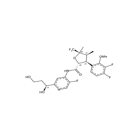 COc1c([C@H]2[C@H](C(=O)Nc3cc([C@@H](O)CCO)ncc3F)O[C@@](C)(C(F)(F)F)[C@H]2C)ccc(F)c1F